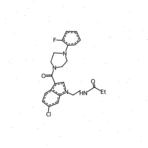 CCC(=O)NCCn1cc(C(=O)N2CCN(c3ccccc3F)CC2)c2ccc(Cl)cc21